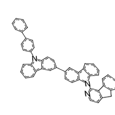 c1ccc(-c2ccc(-n3c4ccccc4c4cc(-c5ccc6c(c5)c5ccccc5n6-c5nccc6c5-c5ccccc5C6)ccc43)cc2)cc1